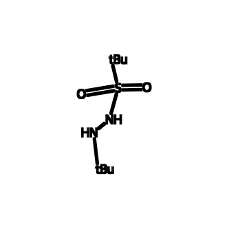 CC(C)(C)NNS(=O)(=O)C(C)(C)C